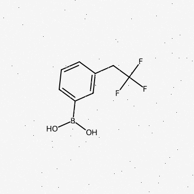 OB(O)c1cccc(CC(F)(F)F)c1